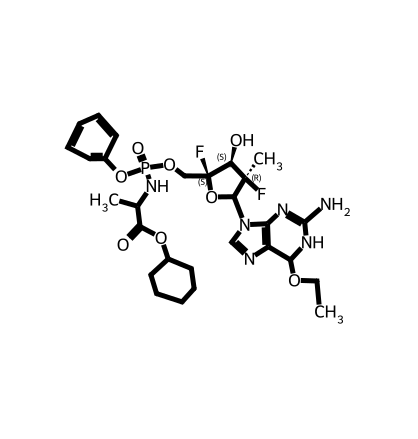 CCOC1NC(N)=Nc2c1ncn2C1O[C@](F)(COP(=O)(NC(C)C(=O)OC2CCCCC2)Oc2ccccc2)[C@@H](O)[C@@]1(C)F